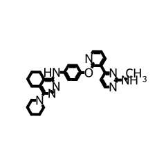 CNc1nccc(-c2cccnc2Oc2ccc(Nc3nnc(N4CCCCC4)c4c3CCCC4)cc2)n1